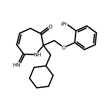 CC(C)c1ccccc1OCC1(CC2CCCCC2)NC(=N)C=CCC1=O